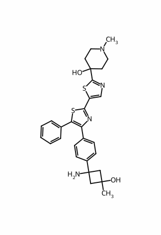 CN1CCC(O)(c2ncc(-c3nc(-c4ccc(C5(N)CC(C)(O)C5)cc4)c(-c4ccccc4)s3)s2)CC1